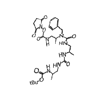 CC(CNC(=O)N(Cc1ccccc1)C(C)CNC(=O)ON1C(=O)CCC1=O)NC(=O)NCC(C)NC(=O)OC(C)(C)C